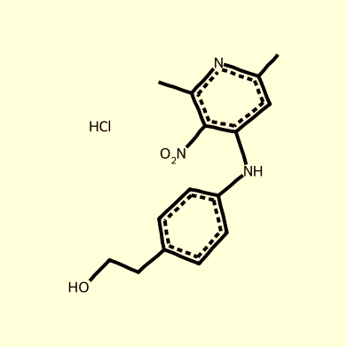 Cc1cc(Nc2ccc(CCO)cc2)c([N+](=O)[O-])c(C)n1.Cl